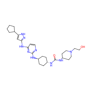 O=C(NC1CCN(CCO)CC1)N[C@H]1CC[C@H](Nc2nccc(Nc3cc(C4CCCC4)[nH]n3)n2)CC1